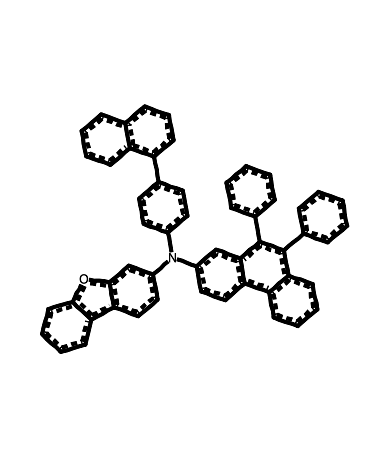 c1ccc(-c2c(-c3ccccc3)c3cc(N(c4ccc(-c5cccc6ccccc56)cc4)c4ccc5c(c4)oc4ccccc45)ccc3c3ccccc23)cc1